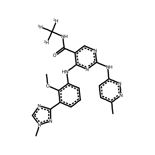 [2H]C([2H])([2H])NC(=O)c1cnc(Nc2ccc(C)nn2)nc1Nc1cccc(-c2ncn(C)n2)c1OC